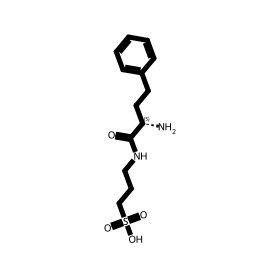 N[C@@H](CCc1ccccc1)C(=O)NCCCS(=O)(=O)O